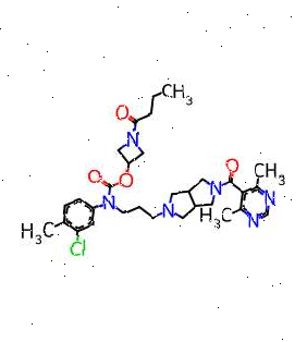 CCCC(=O)N1CC(OC(=O)N(CCCN2CC3CN(C(=O)c4c(C)ncnc4C)CC3C2)c2ccc(C)c(Cl)c2)C1